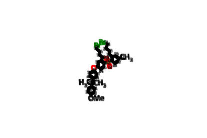 COc1ccc(C(C)(C)c2ccc(Oc3ccc(S(=O)(=O)c4ccc(C)cc4CCCCBr)c(CCCCBr)c3)cc2)cc1